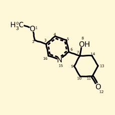 COCc1ccc(C2(O)CCC(=O)CC2)nc1